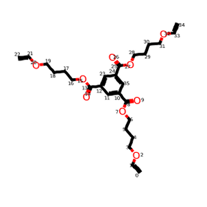 C=COCCCCOC(=O)c1cc(C(=O)OCCCCOC=C)cc(C(=O)OCCCCOC=C)c1